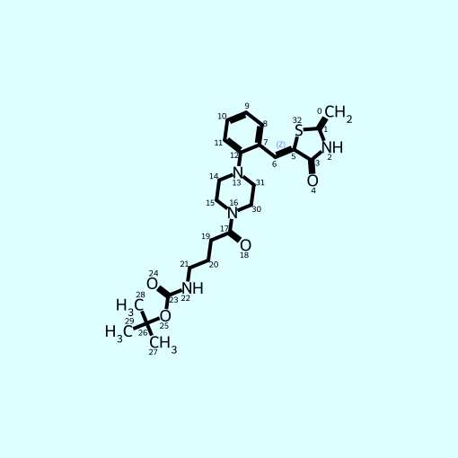 C=c1[nH]c(=O)/c(=C/c2ccccc2N2CCN(C(=O)CCCNC(=O)OC(C)(C)C)CC2)s1